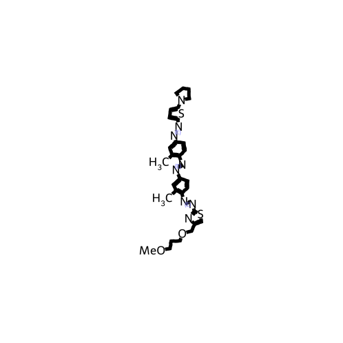 COCCCOCc1csc(/N=N/c2ccc(/N=N/c3ccc(/N=N/c4ccc(N5CCCC5)s4)cc3C)cc2C)n1